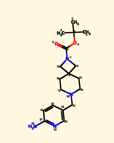 CC(C)(C)OC(=O)N1CC2(CCN(Cc3ccc(N)nc3)CC2)C1